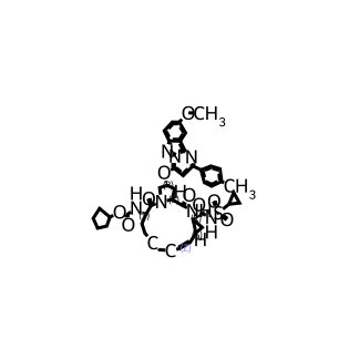 COc1ccc2nn3c(O[C@@H]4C[C@H]5C(=O)N[C@]6(C(=O)NS(=O)(=O)C7CC7)C[C@H]6/C=C\CCCCC[C@H](NC(=O)OC6CCCC6)C(=O)N5C4)cc(-c4ccc(C)cc4)nc3c2c1